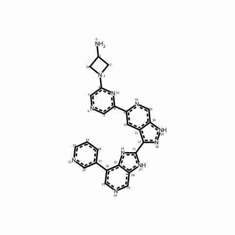 NC1CN(c2cncc(-c3cc4c(-c5nc6c(-c7cccnc7)cncc6[nH]5)n[nH]c4cn3)n2)C1